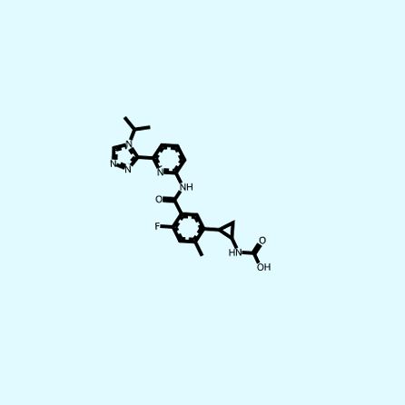 Cc1cc(F)c(C(=O)Nc2cccc(-c3nncn3C(C)C)n2)cc1C1CC1NC(=O)O